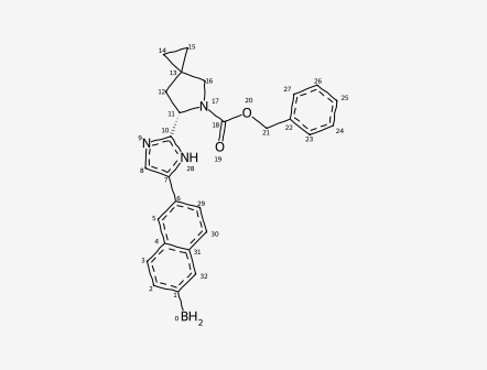 Bc1ccc2cc(-c3cnc([C@@H]4CC5(CC5)CN4C(=O)OCc4ccccc4)[nH]3)ccc2c1